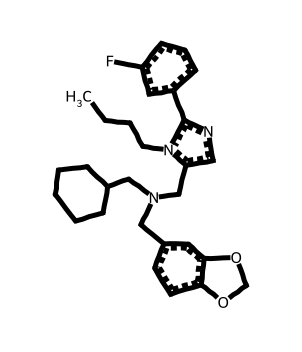 CCCCn1c(CN(Cc2ccc3c(c2)OCO3)CC2CCCCC2)cnc1-c1cccc(F)c1